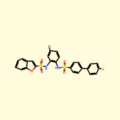 O=S(=O)(Nc1ccc(Cl)cc1NS(=O)(=O)c1cc2ccccc2o1)c1ccc(-c2ccc(F)cc2)cc1